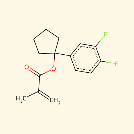 C=C(C)C(=O)OC1(c2ccc(F)c(F)c2)CCCC1